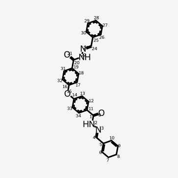 O=C(N/N=C/C1=CCCC=C1)c1ccc(Oc2ccc(C(=O)N/N=C/c3ccccc3)cc2)cc1